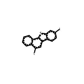 Ic1ccc2c(c1)sc1c3ccccc3c(I)cc21